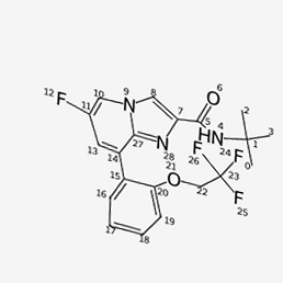 CC(C)(C)NC(=O)c1cn2cc(F)cc(-c3ccccc3OCC(F)(F)F)c2n1